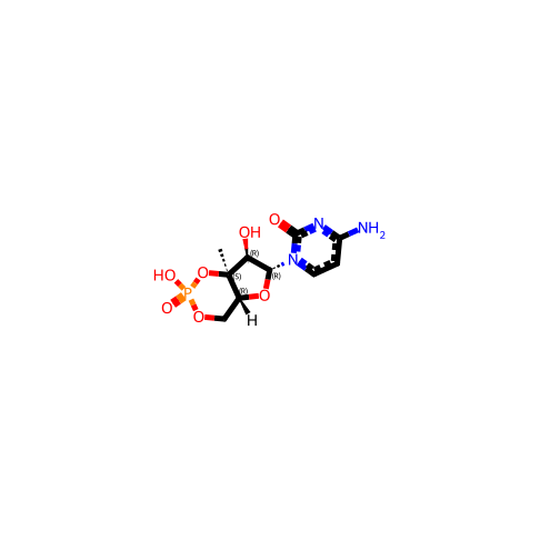 C[C@@]12OP(=O)(O)OC[C@H]1O[C@@H](n1ccc(N)nc1=O)[C@@H]2O